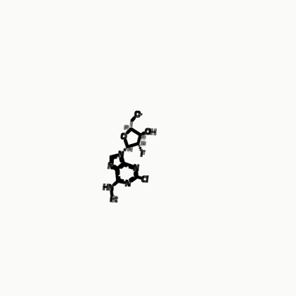 CCNc1nc(Cl)nc2c1ncn2[C@@H]1O[C@H](C[O])[C@@H](O)[C@@H]1F